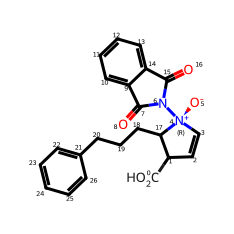 O=C(O)C1C=C[N@@+]([O-])(N2C(=O)c3ccccc3C2=O)C1CCCc1ccccc1